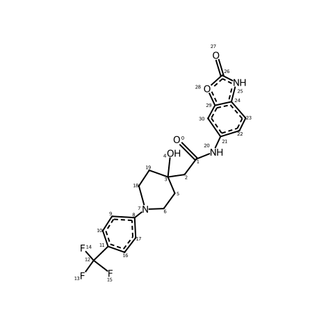 O=C(CC1(O)CCN(c2ccc(C(F)(F)F)cc2)CC1)Nc1ccc2[nH]c(=O)oc2c1